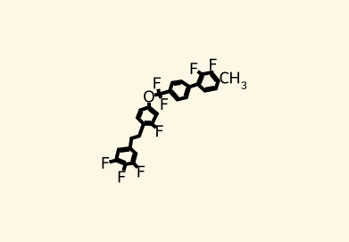 Cc1ccc(-c2ccc(C(F)(F)Oc3ccc(CCc4cc(F)c(F)c(F)c4)c(F)c3)cc2)c(F)c1F